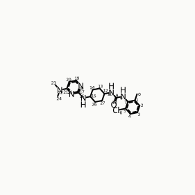 Cc1cccc(Cl)c1NC(=O)NC1CCC(Nc2nccc(N(C)C)n2)CC1